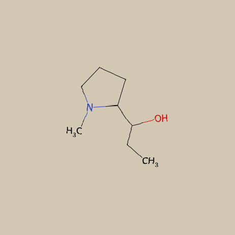 CCC(O)C1CCCN1C